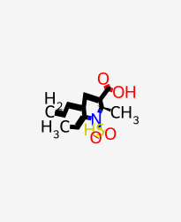 C=C/C=C1/C=C(C(=O)O)[C@@H](C)N([SH](=O)=O)/C1=C/C